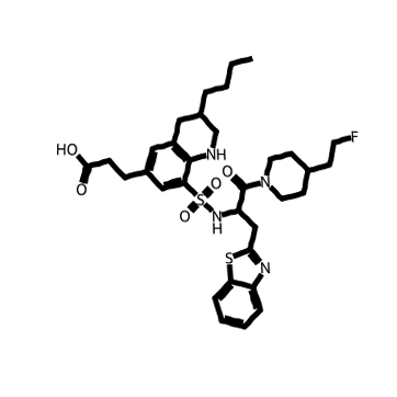 CCCCC1CNc2c(cc(CCC(=O)O)cc2S(=O)(=O)NC(Cc2nc3ccccc3s2)C(=O)N2CCC(CCF)CC2)C1